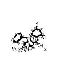 CNC[N+]1(Cc2ccncc2)C=NC(C(C)C)=C1Sc1cc(Cl)cc(Cl)c1